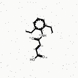 CCc1cccc(CC)c1NC(=O)/C=C/C(=O)O